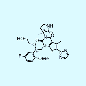 COc1ccc(F)cc1[C@H](Cn1c(=O)n([C@@]2(C)CCNC2=O)c(=O)c2c(C)c(-n3nccn3)sc21)OCCO